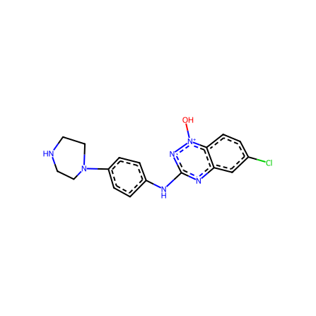 O[n+]1nc(Nc2ccc(N3CCNCC3)cc2)nc2cc(Cl)ccc21